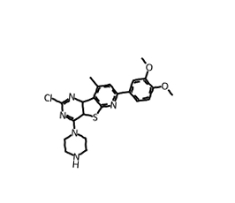 COc1ccc(-c2cc(C)c3c(n2)SC2C(N4CCNCC4)=NC(Cl)=NC32)cc1OC